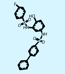 O=S(=O)(Nc1ccc(O)c(NS(=O)(=O)c2ccc(F)cc2)c1)c1ccc(-c2ccccc2)cc1